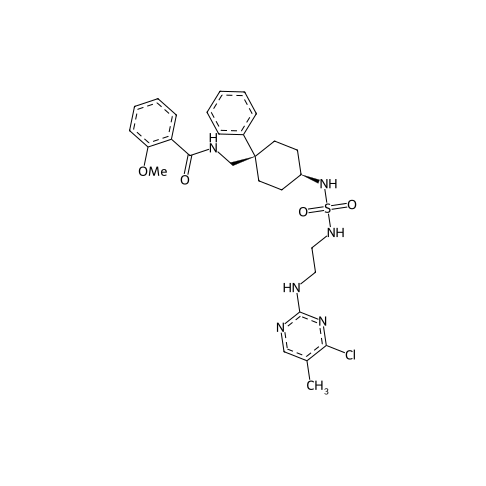 COc1ccccc1C(=O)NC[C@]1(c2ccccc2)CC[C@H](NS(=O)(=O)NCCNc2ncc(C)c(Cl)n2)CC1